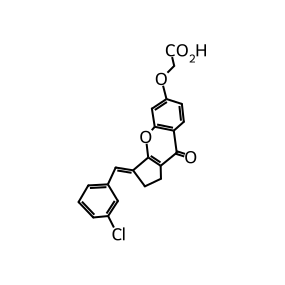 O=C(O)COc1ccc2c(=O)c3c(oc2c1)C(=Cc1cccc(Cl)c1)CC3